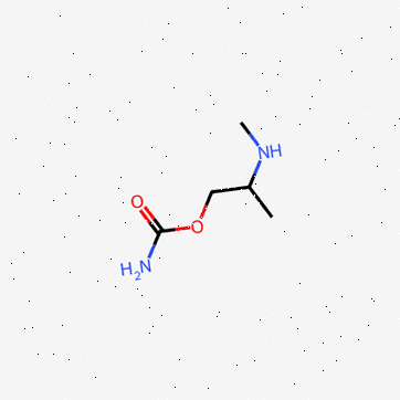 CNC(C)COC(N)=O